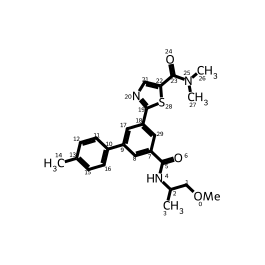 COCC(C)NC(=O)c1cc(-c2ccc(C)cc2)cc(-c2ncc(C(=O)N(C)C)s2)c1